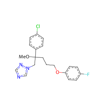 COC(CCCOc1ccc(F)cc1)(Cn1cncn1)c1ccc(Cl)cc1